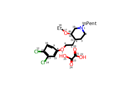 CCCCCN1CC[C@@H](CCOc2ccc(Cl)c(Cl)c2)[C@@H](OCC)C1.O=C(O)C(=O)O